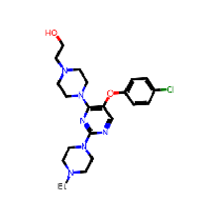 CCN1CCN(c2ncc(Oc3ccc(Cl)cc3)c(N3CCN(CCO)CC3)n2)CC1